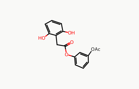 CC(=O)Oc1cccc(OC(=O)Cc2c(O)cccc2O)c1